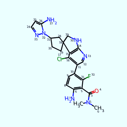 CN(C)C(=O)c1c(N)ccc(-c2cnc3c(c2Cl)C2(CCC(n4nccc4N)C2)CN3)c1F